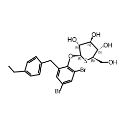 CCc1ccc(Cc2cc(Br)cc(Br)c2O[C@@H]2S[C@H](CO)[C@@H](O)[C@H](O)[C@H]2O)cc1